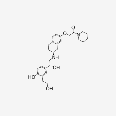 O=C(COc1ccc2c(c1)C[C@@H](NC[C@H](O)c1ccc(O)c(CCO)c1)CC2)N1CCCCC1